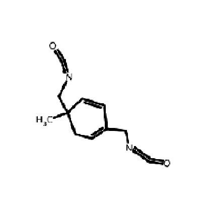 CC1(CN=C=O)C=CC(CN=C=O)=CC1